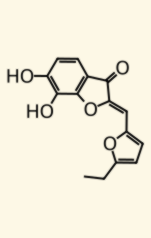 CCc1ccc(/C=C2\Oc3c(ccc(O)c3O)C2=O)o1